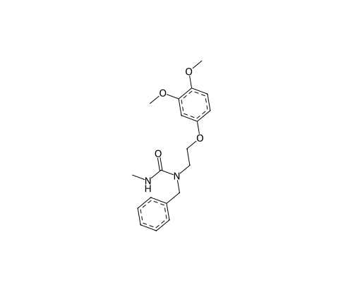 CNC(=O)N(CCOc1ccc(OC)c(OC)c1)Cc1ccccc1